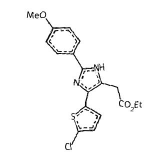 CCOC(=O)Cc1[nH]c(-c2ccc(OC)cc2)nc1-c1ccc(Cl)s1